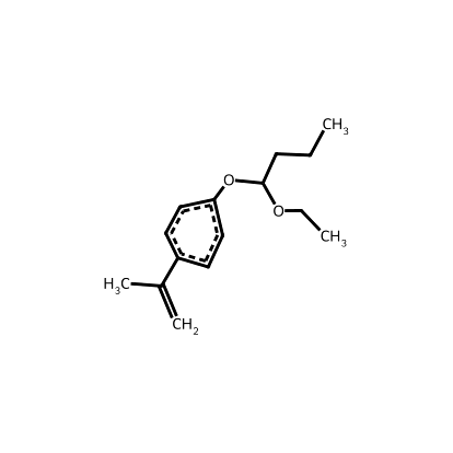 C=C(C)c1ccc(OC(CCC)OCC)cc1